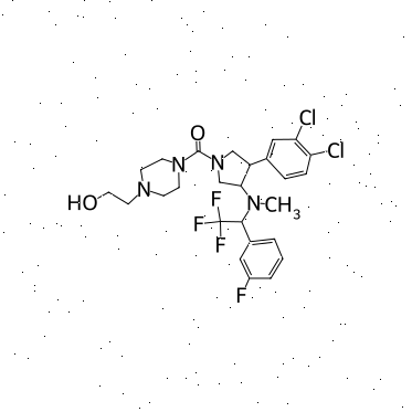 CN(C1CN(C(=O)N2CCN(CCO)CC2)CC1c1ccc(Cl)c(Cl)c1)C(c1cccc(F)c1)C(F)(F)F